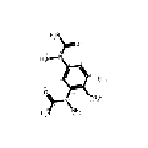 N.NC(=O)N(N)c1ccc(C(=O)O)c(N(N)C(N)=O)c1